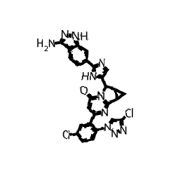 Nc1n[nH]c2cc(-c3ncc(C4C5CC5c5nc(-c6cc(Cl)ccc6-n6cc(Cl)nn6)cc(=O)n54)[nH]3)ccc12